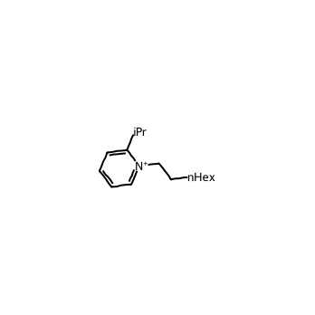 CCCCCCCC[n+]1ccccc1C(C)C